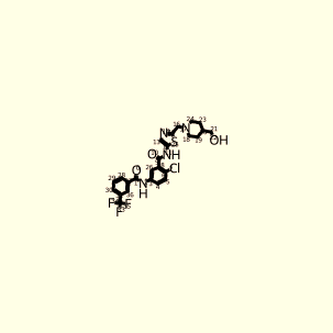 O=C(Nc1ccc(Cl)c(C(=O)Nc2cnc(CN3CCC(CO)CC3)s2)c1)c1cccc(C(F)(F)F)c1